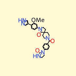 COc1cc(N2CCC3(CCN(C(=O)c4ccc(N5CCNC5=O)cc4)CC3)C2=O)ccc1-c1cn[nH]c1